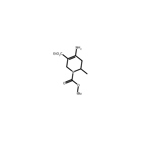 CCOC(=O)C1=C(N)CC(C)N(C(=O)OC(C)(C)C)C1